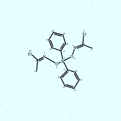 CCC(C)=NO[Si](ON=C(C)CC)(c1ccccc1)c1ccccc1